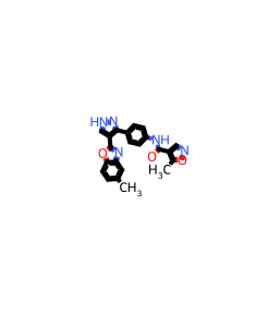 Cc1ccc2oc(-c3c[nH]nc3-c3ccc(NC(=O)c4cnoc4C)cc3)nc2c1